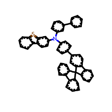 c1ccc(-c2cccc(N(c3ccc(-c4ccc5c(c4)C4(c6ccccc6-c6ccccc64)c4ccccc4-5)cc3)c3ccc4c(c3)sc3ccccc34)c2)cc1